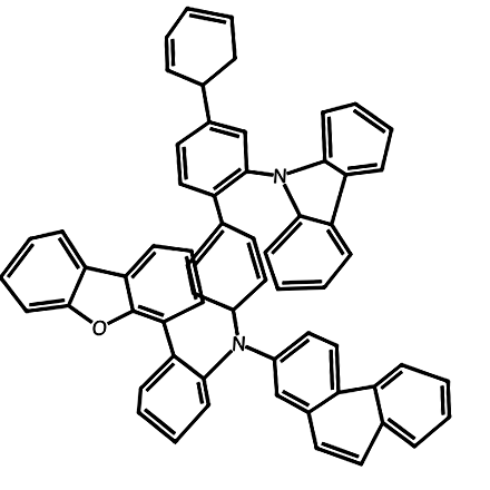 C1=CCC(c2ccc(C3=CCC(N(c4ccc5c(ccc6ccccc65)c4)c4ccccc4-c4cccc5c4oc4ccccc45)C=C3)c(-n3c4ccccc4c4ccccc43)c2)C=C1